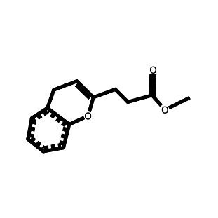 COC(=O)CCC1=CCc2ccccc2O1